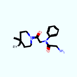 CCC1(C)CCN(C(=O)CN(C(=O)CN)c2ccccc2)CC1